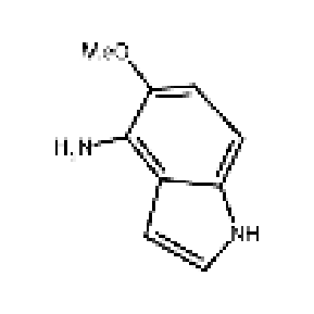 COc1ccc2[nH]ccc2c1N